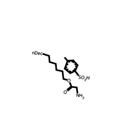 CCCCCCCCCCCCCCCCOC(=O)CN.Cc1ccc(S(=O)(=O)O)cc1